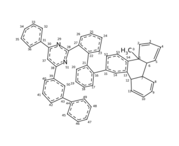 CC12C=CC=CC1C1C=CC=CC1c1cc(-c3ccccc3-c3ccccc3-c3nc(-c4ccccc4)cc(-c4cccc(-c5ccccc5)c4)n3)ccc12